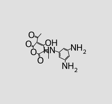 CC(=O)C1=C(O)C(=C(C)Nc2cc(N)cc(N)c2)C(=O)OC1=O